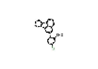 O=Cc1cc(Cl)ccc1-c1cc2c3c(cccc3c1)-c1ccccc1-2